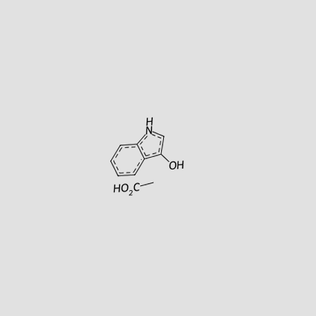 CC(=O)O.Oc1c[nH]c2ccccc12